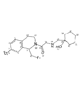 CCc1ccc2c(c1)C(CF)N(C(=O)CNCC1(O)CCCCC1)CC2